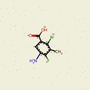 Cc1c(F)c(N)cc(C(=O)O)c1Br